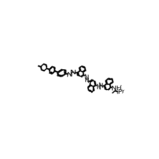 CC1CCC(c2ccc(-c3ccc(N=Nc4ccc(N=Nc5ccc(N=Nc6ccc(NC(C)C(C)C)c7ccccc67)c6ccccc56)c5ccccc45)cc3)cc2)CC1